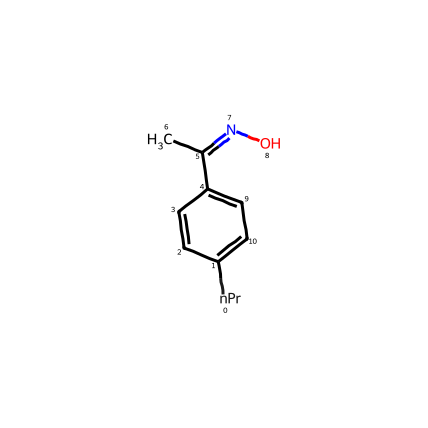 CCCc1ccc(/C(C)=N\O)cc1